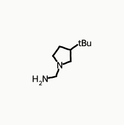 CC(C)(C)C1CCN(CN)C1